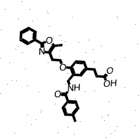 Cc1ccc(C(=O)NCc2cc(CCC(=O)O)ccc2OCCc2nc(-c3ccccc3)oc2C)cc1